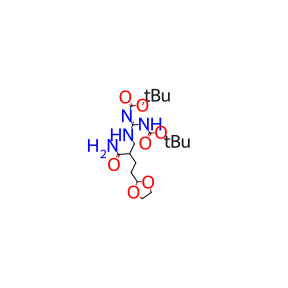 CC(C)(C)OC(=O)N=C(NCC(CCC1OCCO1)C(N)=O)NC(=O)OC(C)(C)C